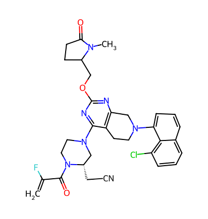 C=C(F)C(=O)N1CCN(c2nc(OCC3CCC(=O)N3C)nc3c2CCN(c2cccc4cccc(Cl)c24)C3)C[C@@H]1CC#N